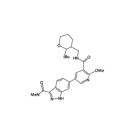 CNC(=O)c1n[nH]c2cc(-c3cnc(OC)c(C(=O)NCC4CCCOC4C(C)(C)C)c3)ccc12